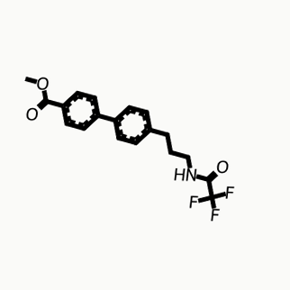 COC(=O)c1ccc(-c2ccc(CCCNC(=O)C(F)(F)F)cc2)cc1